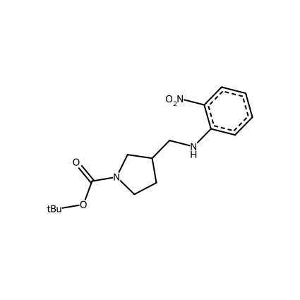 CC(C)(C)OC(=O)N1CCC(CNc2ccccc2[N+](=O)[O-])C1